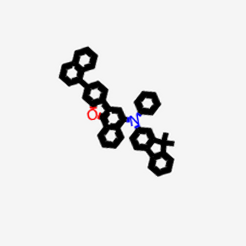 CC1(C)c2ccccc2-c2ccc(N(c3ccccc3)c3cc4c5ccc(-c6cccc7ccccc67)cc5oc4c4ccccc34)cc21